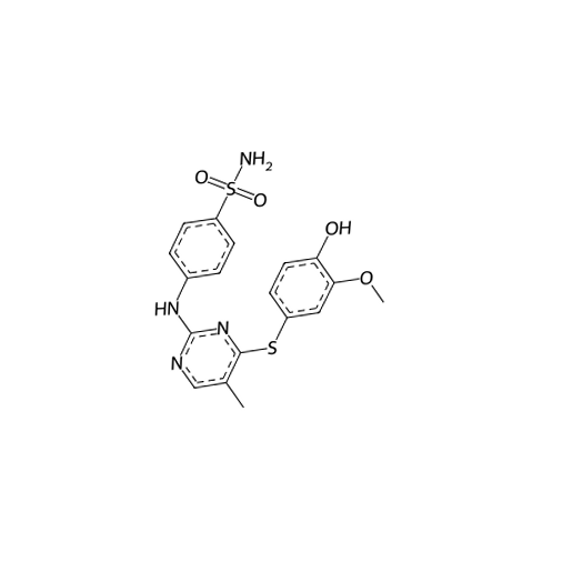 COc1cc(Sc2nc(Nc3ccc(S(N)(=O)=O)cc3)ncc2C)ccc1O